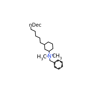 CCCCCCCCCCCCCCCC1CCCC([N+](C)(C)Cc2ccccc2)C1